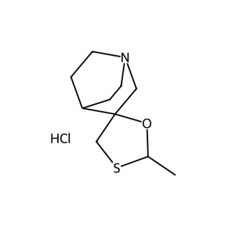 CC1OC2(CS1)CN1CCC2CC1.Cl